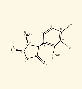 COc1c([C@H]2C(=O)O[C@@H](C)[C@H]2OC)ccc(F)c1F